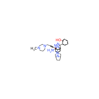 CN1CCCN(CC#Cc2cc(N3C4CCC3CN(c3cc(-c5ccccc5O)nnc3N)C4)ccn2)CC1